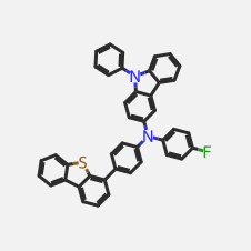 Fc1ccc(N(c2ccc(-c3cccc4c3sc3ccccc34)cc2)c2ccc3c(c2)c2ccccc2n3-c2ccccc2)cc1